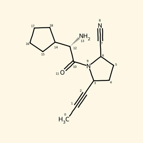 CC#CC1CCC(C#N)N1C(=O)[C@@H](N)C1CCCC1